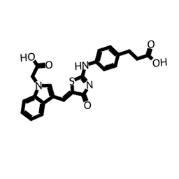 O=C(O)CCc1ccc(NC2=NC(=O)C(=Cc3cn(CC(=O)O)c4ccccc34)S2)cc1